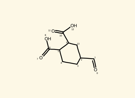 O=CC1CCC(C(=O)O)C(C(=O)O)C1